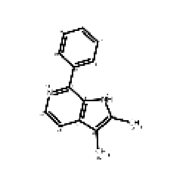 Cc1[nH]c2c(-c3ccccc3)nccc2c1C